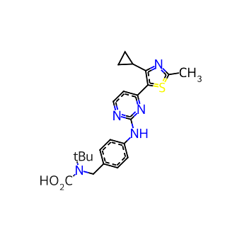 Cc1nc(C2CC2)c(-c2ccnc(Nc3ccc(CN(C(=O)O)C(C)(C)C)cc3)n2)s1